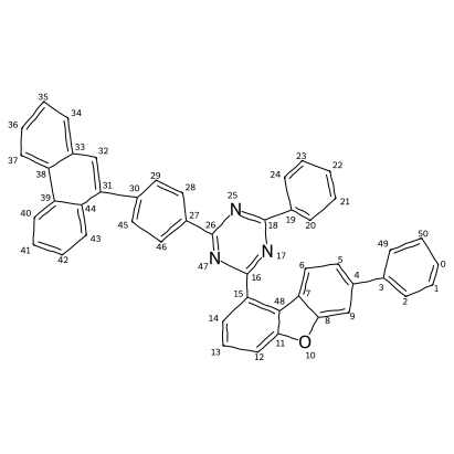 c1ccc(-c2ccc3c(c2)oc2cccc(-c4nc(-c5ccccc5)nc(-c5ccc(-c6cc7ccccc7c7ccccc67)cc5)n4)c23)cc1